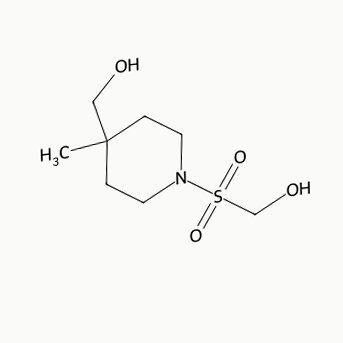 CC1(CO)CCN(S(=O)(=O)CO)CC1